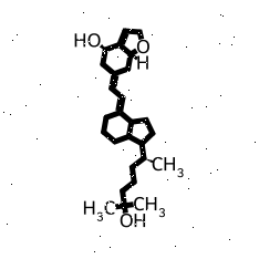 C[C@H](CCCC(C)(C)O)C1CCC2/C(=C/C=C3/C[C@@H](O)C4=CCO[C@@H]4C3)CCCC21